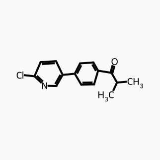 CC(C)C(=O)c1ccc(-c2ccc(Cl)nc2)cc1